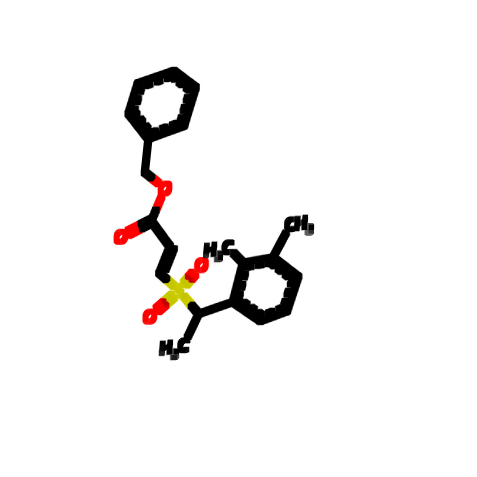 Cc1cccc(C(C)S(=O)(=O)C=CC(=O)OCc2ccccc2)c1C